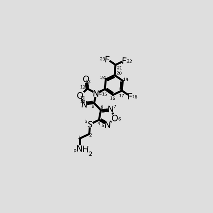 NCCSc1nonc1-c1noc(=O)n1-c1cc(F)cc(C(F)F)c1